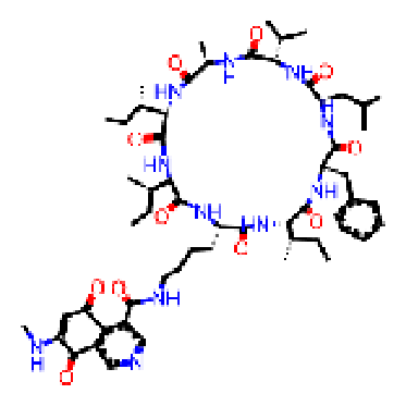 CC[C@@H](C)[C@H]1NC(=O)[C@H]([C@@H](C)CC)NC(=O)[C@@H](C)NC(=O)[C@H](C(C)C)NC(=O)[C@@H](CC(C)C)NC(=O)[C@@H](Cc2ccccc2)NC(=O)[C@H]([C@@H](C)CC)NC(=O)[C@H](CCCCNC(=O)c2cncc3c2C(=O)C=C(NC)C3=O)NC1=O